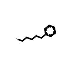 [S]CCCCCc1ccccc1